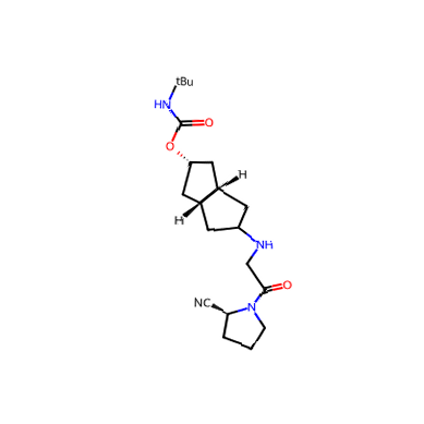 CC(C)(C)NC(=O)O[C@H]1C[C@H]2CC(NCC(=O)N3CCC[C@H]3C#N)C[C@H]2C1